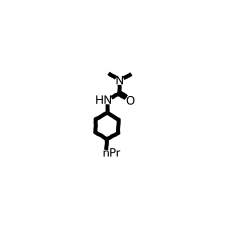 CCCC1CCC(NC(=O)N(C)C)CC1